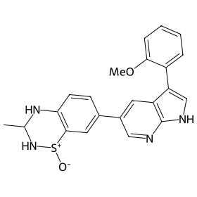 COc1ccccc1-c1c[nH]c2ncc(-c3ccc4c(c3)[S+]([O-])NC(C)N4)cc12